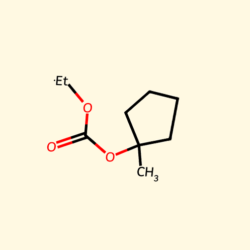 C[CH]OC(=O)OC1(C)CCCC1